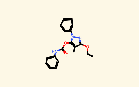 CCOc1nn(-c2ccccc2)c(OC(=O)Nc2ccccc2)c1C